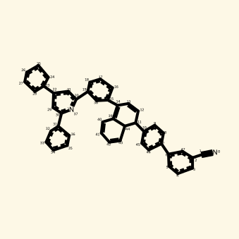 N#Cc1cccc(-c2ccc(C3C=CC(c4cccc(-c5cc(-c6ccccc6)cc(-c6ccccc6)n5)c4)=C4C=CC=CC43)cc2)c1